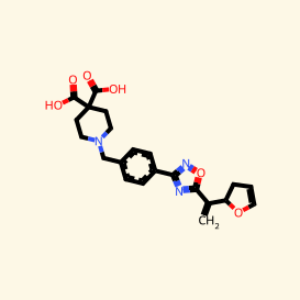 C=C(c1nc(-c2ccc(CN3CCC(C(=O)O)(C(=O)O)CC3)cc2)no1)C1CC=CO1